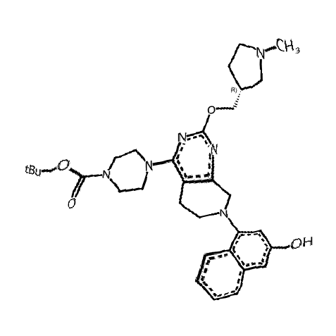 CN1CC[C@@H](COc2nc3c(c(N4CCN(C(=O)OC(C)(C)C)CC4)n2)CCN(c2cc(O)cc4ccccc24)C3)C1